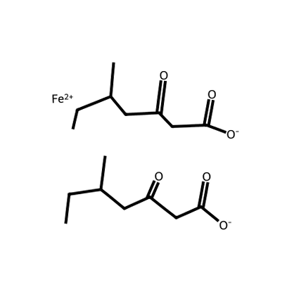 CCC(C)CC(=O)CC(=O)[O-].CCC(C)CC(=O)CC(=O)[O-].[Fe+2]